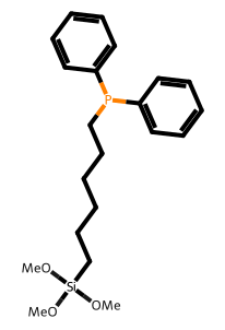 CO[Si](CCCCCCP(c1ccccc1)c1ccccc1)(OC)OC